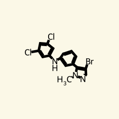 Cn1ncc(Br)c1-c1cccc(Nc2cc(Cl)cc(Cl)c2)c1